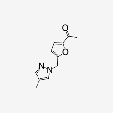 CC(=O)c1ccc(Cn2cc(C)cn2)o1